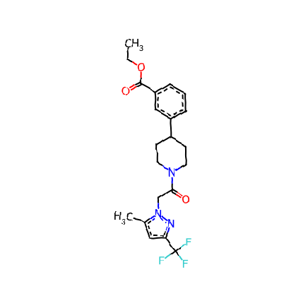 CCOC(=O)c1cccc(C2CCN(C(=O)Cn3nc(C(F)(F)F)cc3C)CC2)c1